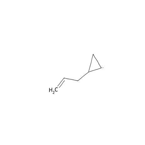 C=CCC1[CH]C1